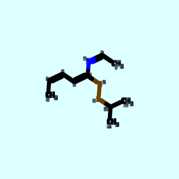 C\C=C/C=C(\N=C/C)SSC(C)C